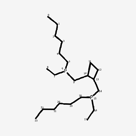 CCCCCCP(CC)CC1CCC1CP(CC)CCCCCC